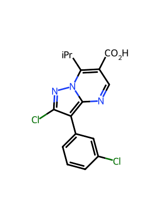 CC(C)c1c(C(=O)O)cnc2c(-c3cccc(Cl)c3)c(Cl)nn12